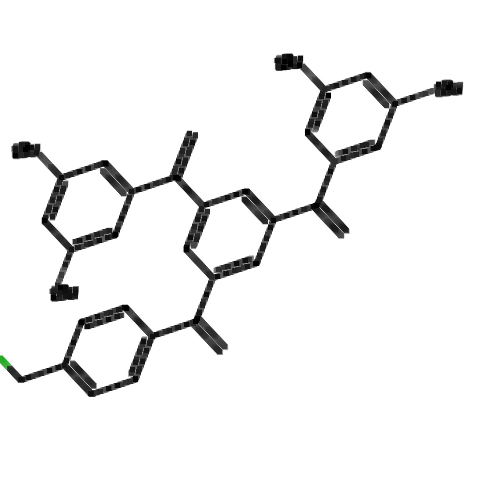 C=C(c1ccc(CBr)cc1)c1cc(C(=C)c2cc(C(C)(C)C)cc(C(C)(C)C)c2)cc(C(=C)c2cc(C(C)(C)C)cc(C(C)(C)C)c2)c1